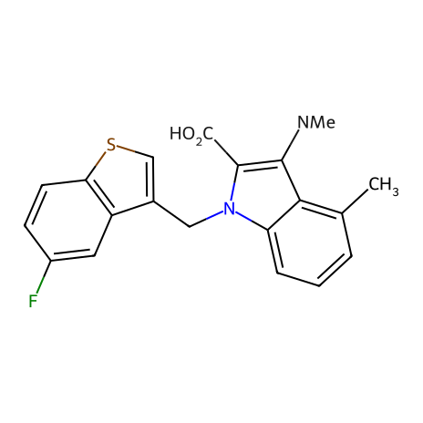 CNc1c(C(=O)O)n(Cc2csc3ccc(F)cc23)c2cccc(C)c12